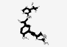 Cc1ccc(C(=O)Nc2cc(C(F)(F)F)ccn2)cc1C#Cc1cnc(N)s1